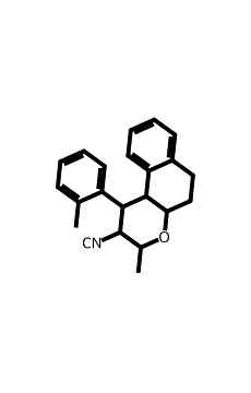 [C-]#[N+]C1C(C)OC2CCc3ccccc3C2C1c1ccccc1C